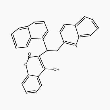 O=c1oc2ccccc2c(O)c1C(Cc1ccc2ccccc2n1)c1cccc2ccccc12